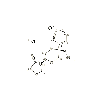 Cl.NC[C@]1(c2cccc(Cl)c2)CC[C@H](N2CCCC2=O)CC1